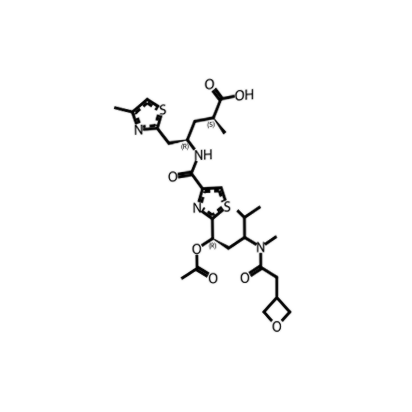 CC(=O)O[C@H](CC(C(C)C)N(C)C(=O)CC1COC1)c1nc(C(=O)N[C@@H](Cc2nc(C)cs2)C[C@H](C)C(=O)O)cs1